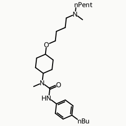 CCCCCN(C)CCCCOC1CCC(N(C)C(=O)Nc2ccc(CCCC)cc2)CC1